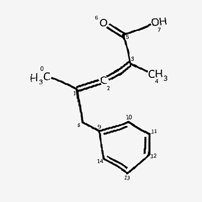 CC(=C=C(C)C(=O)O)Cc1ccccc1